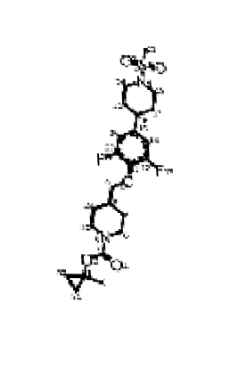 CC1(OC(=O)N2CCC(COc3c(F)cc(C4CCN(S(C)(=O)=O)CC4)cc3F)CC2)CC1